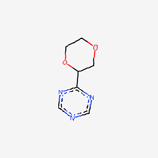 c1ncnc([C]2COCCO2)n1